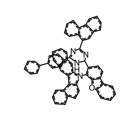 c1ccc(-c2ccc(C3=NC(c4cc5ccccc5c5ccccc45)=NC(c4ccc5c(oc6ccccc65)c4-n4c5cc6ccccc6cc5c5c6ccccc6ccc54)N3)cc2)cc1